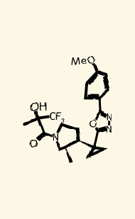 COc1ccc(-c2nnc(C3([C@@H]4CCN(C(=O)C(C)(O)C(F)(F)F)C[C@@H]4C)CC3)o2)cc1